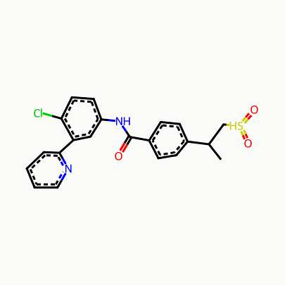 CC(C[SH](=O)=O)c1ccc(C(=O)Nc2ccc(Cl)c(-c3ccccn3)c2)cc1